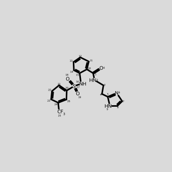 O=C(NCCc1ncc[nH]1)c1ccccc1NS(=O)(=O)c1cccc(C(F)(F)F)c1